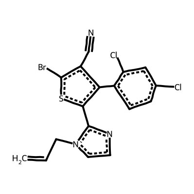 C=CCn1ccnc1-c1sc(Br)c(C#N)c1-c1ccc(Cl)cc1Cl